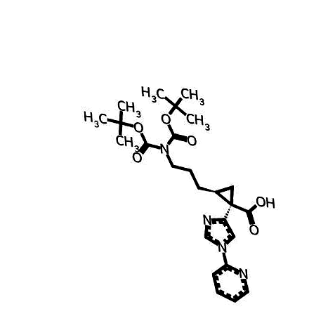 CC(C)(C)OC(=O)N(CCC[C@H]1C[C@]1(C(=O)O)c1cn(-c2ccccn2)cn1)C(=O)OC(C)(C)C